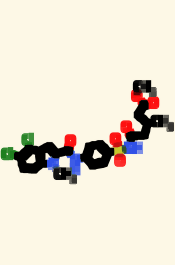 COC(=O)CC(C)CC(=O)NS(=O)(=O)c1ccc(NC(=O)c2cc3c(Cl)c(Cl)ccc3n2C)cc1